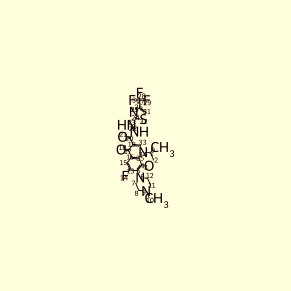 C[C@H]1COc2c(N3CCN(C)CC3)c(F)cc3c(=O)c(C(=O)NNc4nc(C(F)(F)F)cs4)cn1c23